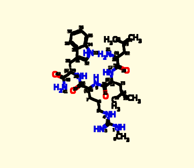 CNC(=N)NCCC[C@H](NC(=O)[C@H](CC(C)C)NC(=O)[C@@H](N)CC(C)C)C(=O)N[C@@H](Cc1c[nH]c2ccccc12)C(N)=O